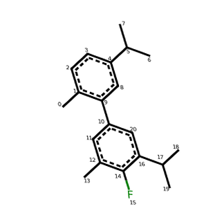 Cc1ccc(C(C)C)cc1-c1cc(C)c(F)c(C(C)C)c1